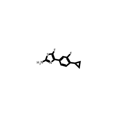 Nc1nc(-c2ccc(C3CC3)c(F)c2)c(F)s1